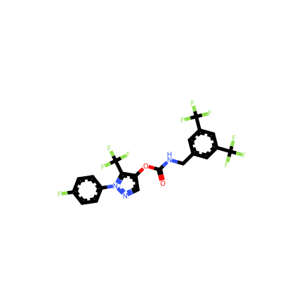 O=C(NCc1cc(C(F)(F)F)cc(C(F)(F)F)c1)Oc1cnn(-c2ccc(F)cc2)c1C(F)(F)F